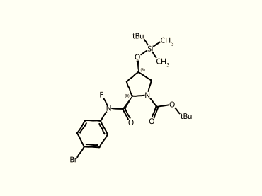 CC(C)(C)OC(=O)N1C[C@H](O[Si](C)(C)C(C)(C)C)C[C@@H]1C(=O)N(F)c1ccc(Br)cc1